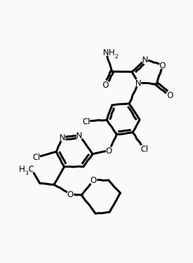 CCC(OC1CCCCO1)c1cc(Oc2c(Cl)cc(-n3c(C(N)=O)noc3=O)cc2Cl)nnc1Cl